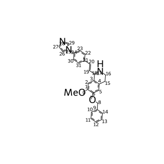 COc1cc2c(cc1OCc1ccccc1)CCNC2/C=C/c1ccc(-n2ccnc2)cc1